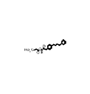 O=C(O)CCC(=O)ONC(=O)Cc1ccc(CCCCc2ccccc2)cc1